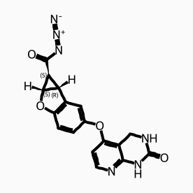 [N-]=[N+]=NC(=O)[C@@H]1[C@H]2Oc3ccc(Oc4ccnc5c4CNC(=O)N5)cc3[C@H]21